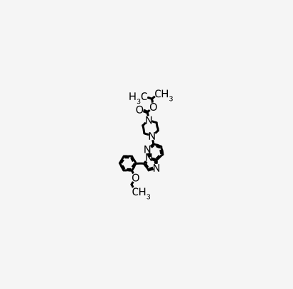 CCOc1ccccc1-c1cnc2ccc(N3CCN(C(=O)OC(C)C)CC3)nn12